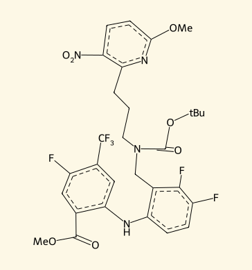 COC(=O)c1cc(F)c(C(F)(F)F)cc1Nc1ccc(F)c(F)c1CN(CCCc1nc(OC)ccc1[N+](=O)[O-])C(=O)OC(C)(C)C